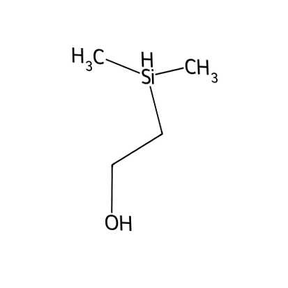 C[SiH](C)CCO